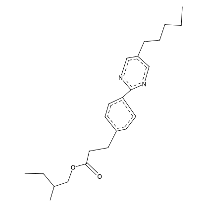 CCCCCc1cnc(-c2ccc(CCC(=O)OCC(C)CC)cc2)nc1